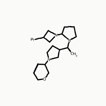 CC(C)C1CN(C2CCCN2C(C)C2CCN(C3CCCOC3)C2)C1